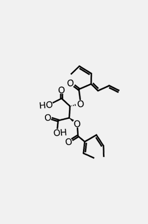 C=C/C=C(\C=C/C)C(=O)O[C@@H](C(=O)O)[C@@H](OC(=O)C(/C=C\C)=C/C)C(=O)O